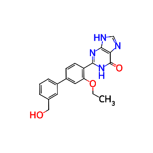 CCOc1cc(-c2cccc(CO)c2)ccc1-c1nc2[nH]cnc2c(=O)[nH]1